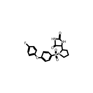 O=C1NC(=O)C(C2CCCN2S(=O)(=O)c2ccc(Oc3ccc(F)cc3)cc2)N1